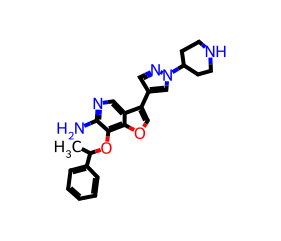 CC(Oc1c(N)ncc2c(-c3cnn(C4CCNCC4)c3)coc12)c1ccccc1